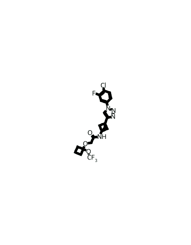 O=C(COC1(OC(F)(F)F)CCC1)NC12CC(c3cn(-c4ccc(Cl)c(F)c4)nn3)(C1)C2